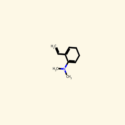 C=CC1=CCCC=C1N(C)C